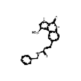 O=C(C=Cc1ccc2[nH]c(=O)c3[nH]cc(C(=O)O)c3c2c1)NCc1ccccc1